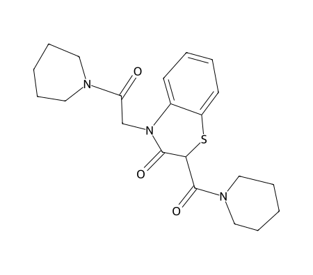 O=C(CN1C(=O)C(C(=O)N2CCCCC2)Sc2ccccc21)N1CCCCC1